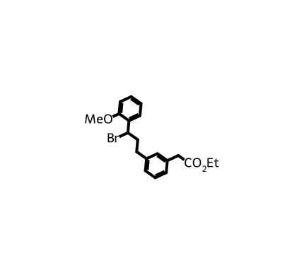 CCOC(=O)Cc1cccc(CCC(Br)c2ccccc2OC)c1